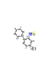 CCc1ccc(-c2ccccc2)c(N=S)c1